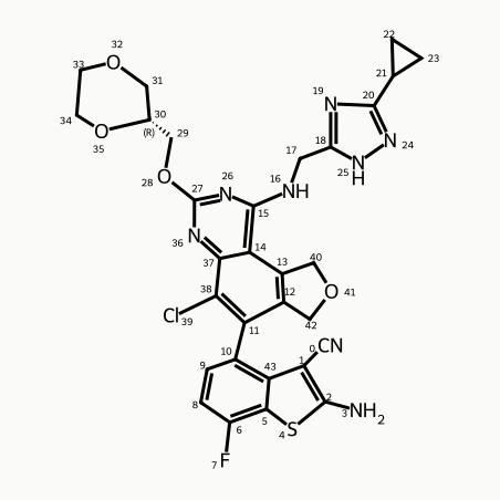 N#Cc1c(N)sc2c(F)ccc(-c3c4c(c5c(NCc6nc(C7CC7)n[nH]6)nc(OC[C@H]6COCCO6)nc5c3Cl)COC4)c12